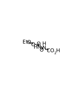 CCOCCOCCC(=O)NCC(=O)NCCC(=O)O